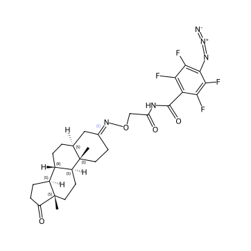 C[C@]12CC/C(=N\OCC(=O)NC(=O)c3c(F)c(F)c(N=[N+]=[N-])c(F)c3F)C[C@@H]1CC[C@@H]1[C@@H]2CC[C@]2(C)C(=O)CC[C@@H]12